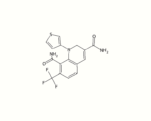 NC(=O)C1=Cc2ccc(C(F)(F)F)c(C(N)=O)c2N(c2ccsc2)C1